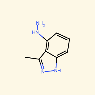 Cc1n[nH]c2cccc(NN)c12